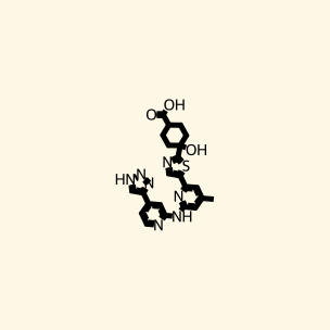 Cc1cc(Nc2cc(-c3c[nH]nn3)ccn2)nc(-c2cnc(C3(O)CCC(C(=O)O)CC3)s2)c1